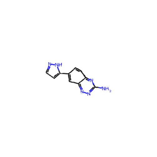 Nc1nnc2cc(-c3ccn[nH]3)ccc2n1